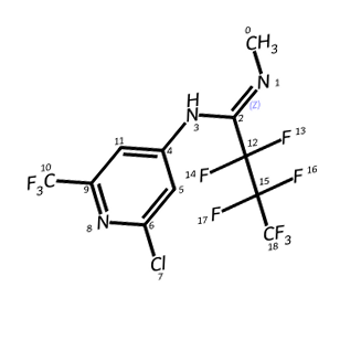 C/N=C(\Nc1cc(Cl)nc(C(F)(F)F)c1)C(F)(F)C(F)(F)C(F)(F)F